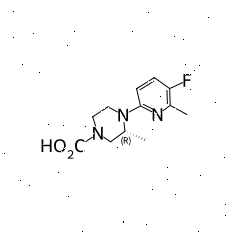 Cc1nc(N2CCN(C(=O)O)C[C@H]2C)ccc1F